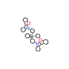 c1ccc([Si](c2ccccc2)(c2cccc(-n3c4ccccc4c4c5ccccc5oc43)c2)c2cccc(-n3c4ccccc4c4c5ccccc5oc43)c2)cc1